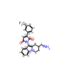 NCC1CCn2c(c(N3C(=O)C=C(c4cccc(C(F)(F)F)c4)C3=O)c3ccccc32)C1